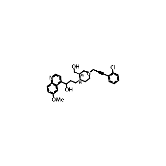 COc1ccc2nccc(C(O)CC[C@@H]3CCN(CC#Cc4ccccc4Cl)C[C@@H]3CO)c2c1